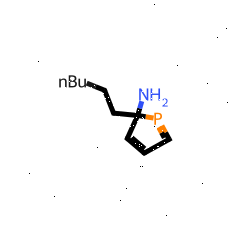 CCCCCCC1(N)C=CC=P1